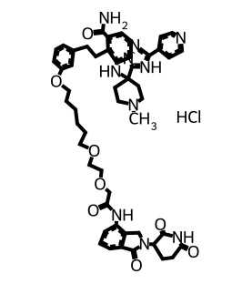 CN1CCC(Nc2cccc(C(N)=O)c2CCc2cccc(OCCCCCCOCCOCC(=O)Nc3cccc4c3CN(C3CCC(=O)NC3=O)C4=O)c2)(c2nnc(-c3ccncc3)[nH]2)CC1.Cl